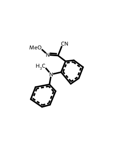 CON=C(C#N)c1ccccc1N(C)c1ccccc1